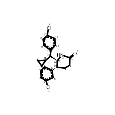 O=C1CC[C@H](c2cccc(Cl)c2)[C@@H](C(c2ccc(Cl)cc2)C2CC2)N1